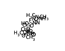 CNc1nc(C)nc2c1ncn2[C@@H]1O[C@](CCl)(CO[P@@](=S)(N[C@H](C)C(=O)OC(C)C)Oc2ccccc2)[C@@H](O)[C@@H]1F